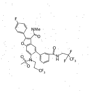 CNC(=O)c1c(-c2ccc(F)cc2)oc2cc(N(CCC(F)(F)F)S(C)(=O)=O)c(-c3cccc(C(=O)NCC(F)(F)C(F)(F)F)c3)cc12